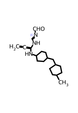 C=C=C(N/C=N/C=O)NC1CCC(CC2CCC(C)CC2)CC1